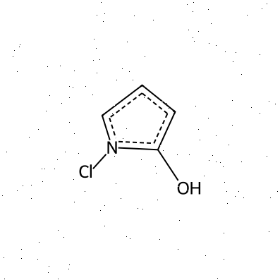 Oc1cccn1Cl